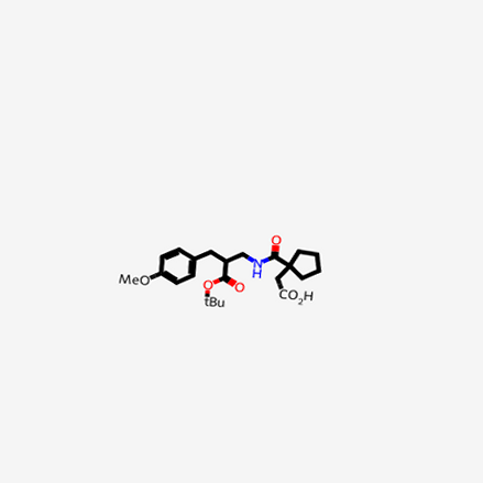 COc1ccc(CC(CNC(=O)C2(CC(=O)O)CCCC2)C(=O)OC(C)(C)C)cc1